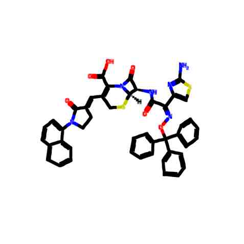 Nc1nc(/C(=N/OC(c2ccccc2)(c2ccccc2)c2ccccc2)C(=O)N[C@@H]2C(=O)N3C(C(=O)O)=C(/C=C4\CCN(c5cccc6ccccc56)C4=O)CS[C@H]23)cs1